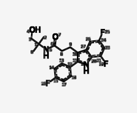 CC(C)(CO)NC(=O)CCc1c(-c2ccc(F)cc2)[nH]c2c(F)cc(F)cc12